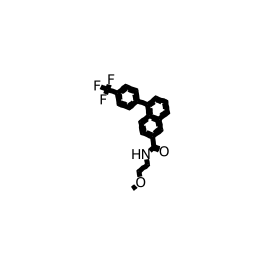 COCCNC(=O)c1ccc2c(-c3ccc(C(F)(F)F)cc3)cccc2c1